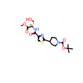 COC(=O)[C@H](CO)NC(=O)c1csc(C2CCN(C(=O)OC(C)(C)C)CC2)n1